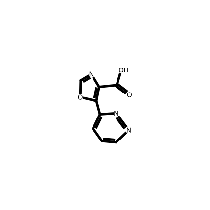 O=C(O)c1ncoc1-c1cccnn1